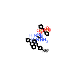 C(=C\c1ccccc1-c1ccccc1/C=C/c1ccccc1)/c1ccccc1.Nc1nnnc(N)c1N.O=S(=O)([O-])c1ccccc1/C=C/c1ccccc1S(=O)(=O)[O-].[Na+].[Na+]